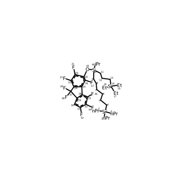 CCC[Si](CCC)(CCC)CCCCCC[Si](CCC[Si](CC)(CC)CC)(Oc1c(F)c(F)c2c(c1F)-c1c([c]c(F)c(F)c1F)C2(F)F)C(C)C